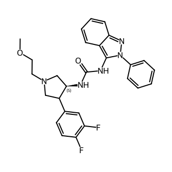 COCCN1CC(c2ccc(F)c(F)c2)[C@H](NC(=O)Nc2c3ccccc3nn2-c2ccccc2)C1